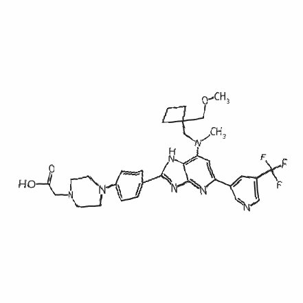 COCC1(CN(C)c2cc(-c3cncc(C(F)(F)F)c3)nc3nc(-c4ccc(N5CCN(CC(=O)O)CC5)cc4)[nH]c23)CCC1